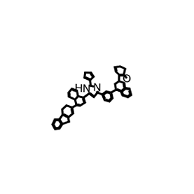 C1=CC2C(C3=CC4=C(CC3)c3ccccc3C4)=CC=C(C3=CC(c4cccc(C5=c6ccccc6=C6OC7=C(C=CCC7)C6C5)c4)=NC(C4=CCC=C4)N3)C2C=C1